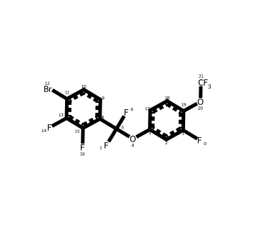 Fc1cc(OC(F)(F)c2ccc(Br)c(F)c2F)ccc1OC(F)(F)F